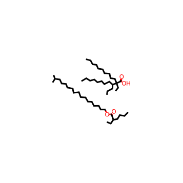 CCCCC(CC)C(=O)OCCCCCCCCCCCCCCCC(C)C.CCCCCCCCCCC(CC)(C(=O)O)C(CCC)CCCCCCCC